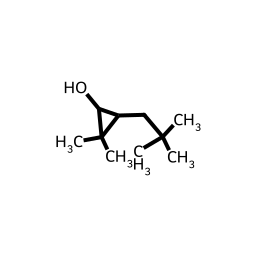 CC(C)(C)CC1C(O)C1(C)C